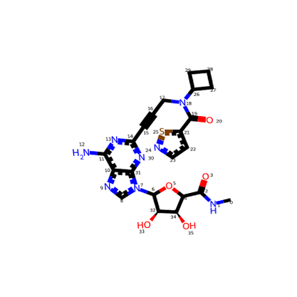 CNC(=O)C1OC(n2cnc3c(N)nc(C#CCN(C(=O)c4ccns4)C4CCC4)nc32)[C@H](O)[C@@H]1O